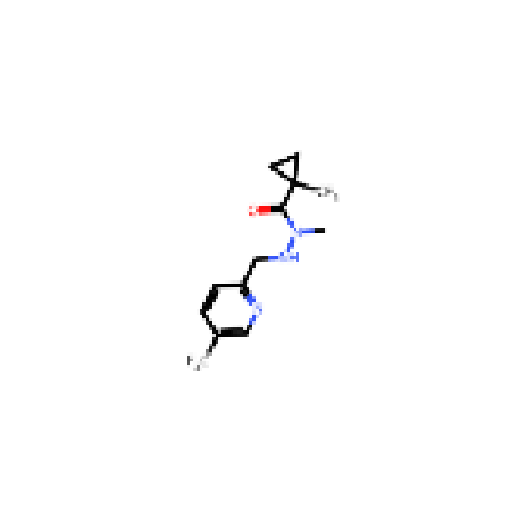 CN(NCc1ccc(C(F)(F)F)cn1)C(=O)C1(C(F)(F)F)CC1